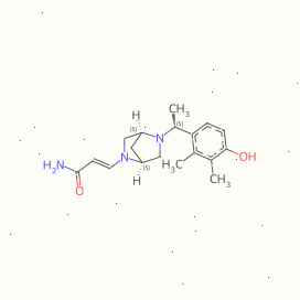 Cc1c(O)ccc([C@H](C)N2C[C@@H]3C[C@H]2CN3C=CC(N)=O)c1C